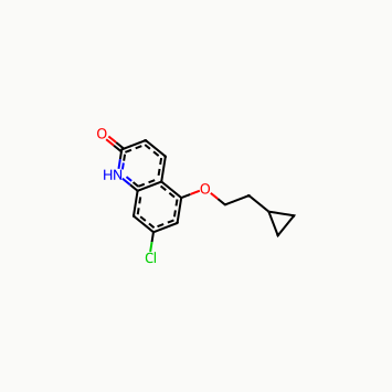 O=c1ccc2c(OCCC3CC3)cc(Cl)cc2[nH]1